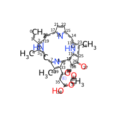 C=Cc1c(C)c2cc3nc(c4c5[nH]c(cc6nc(cc1[nH]2)C=C6)c(C)c5C(=O)[C@@H]4C(=O)OC)C(/C=C/C(=O)O)=C3C